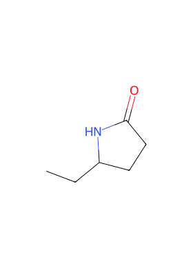 CCC1CCC(=O)N1